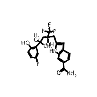 CC(C)(CC(O)(Cc1cc2ccc(C(N)=O)cc2[nH]1)C(F)(F)F)c1cc(F)ccc1O